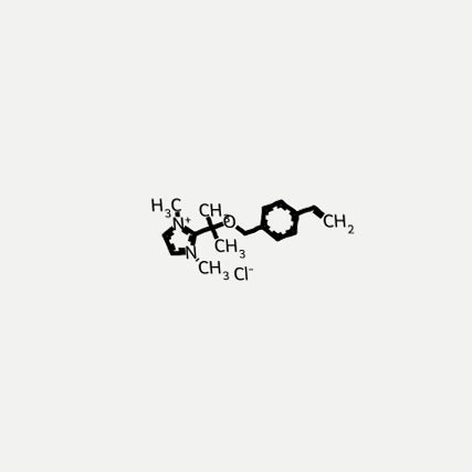 C=Cc1ccc(COC(C)(C)c2n(C)cc[n+]2C)cc1.[Cl-]